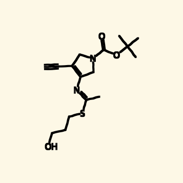 C#CC1=C(/N=C(\C)SCCCO)CN(C(=O)OC(C)(C)C)C1